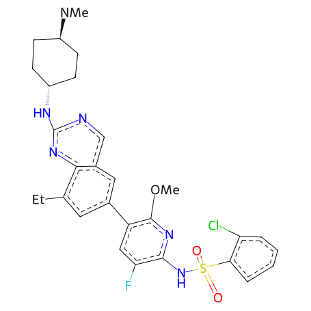 CCc1cc(-c2cc(F)c(NS(=O)(=O)c3ccccc3Cl)nc2OC)cc2cnc(N[C@H]3CC[C@H](NC)CC3)nc12